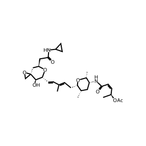 CC(=O)O[C@@H](C)/C=C\C(=O)N[C@@H]1C[C@H](C)[C@H](C/C=C(C)/C=C/[C@H]2O[C@H](CC(=O)NC3CC3)C[C@@]3(CO3)[C@@H]2O)O[C@@H]1C